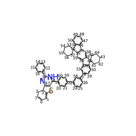 C1=CCC2C(=C1)SC1=C2N=C(c2ccccc2)NC1c1ccc(-c2cccc(-c3ccc4c(c3)C3=CC5C(C=C3C43CCCCC3)c3ccccc3C53CCCCC3)c2)cc1